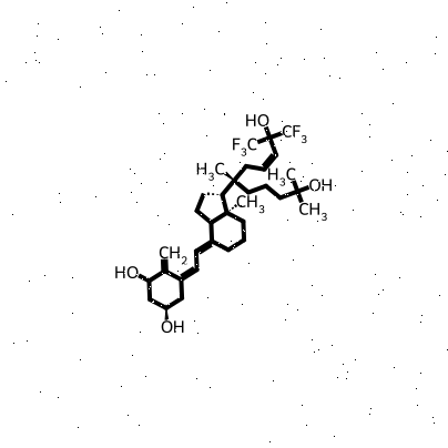 C=C1/C(=C\C=C2CCC[C@@]3(C)C2CC[C@@H]3[C@](C)(C/C=C\C(O)(C(F)(F)F)C(F)(F)F)CCCC(C)(C)O)C[C@@H](O)CC1O